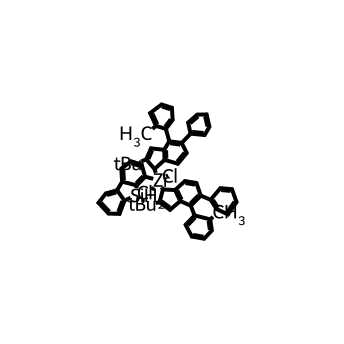 Cc1ccccc1-c1c(-c2ccccc2)ccc2c1C=C(C(C)(C)C)[CH]2[Zr]([Cl])([Cl])([c]1cccc2c1[SiH2]c1ccccc1-2)[CH]1C(C(C)(C)C)=Cc2c1ccc(-c1ccccc1)c2-c1ccccc1C